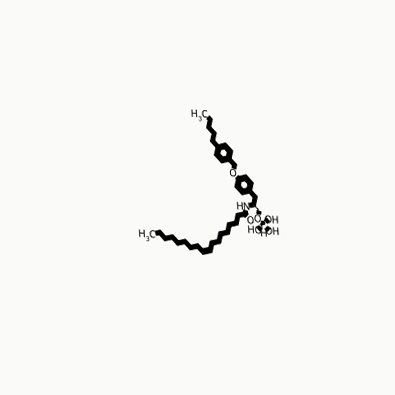 CCCCCCCC/C=C\CCCCCCCC(=O)N[C@@H](CO[PH](O)(O)O)Cc1ccc(OCc2ccc(CCCCC)cc2)cc1